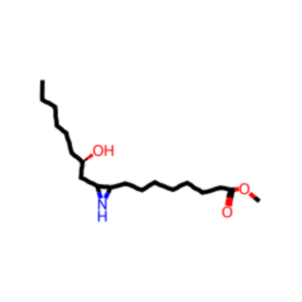 CCCCCC[C@@H](O)CC1NC1CCCCCCCC(=O)OC